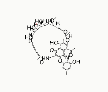 CO[C@H]1/C=C/O[C@@H](C)Oc2c(C)c(O)c3c(=O)c(c4oc5cc(C)cc(O)c5nc-4c3c2C(C)=O)NC(=O)/C(C)=C\C=C\[C@H](C)[C@H](O)[C@@H](C)[C@@H](O)[C@@H](C)[C@H](O)[C@@H]1C